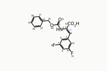 O=C(N/C(=C\c1cc(F)cc(F)c1)C(=O)O)OCc1ccccc1